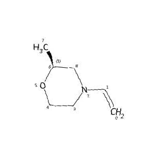 C=CN1CCO[C@@H](C)C1